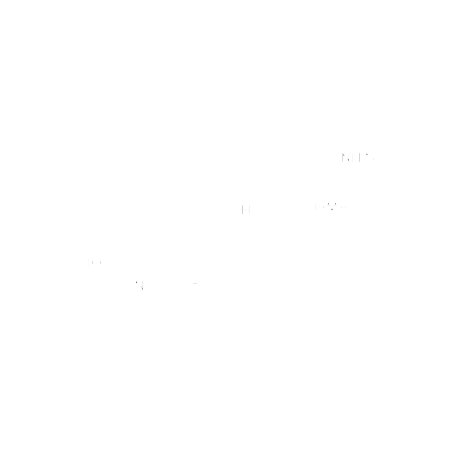 COc1cc(-c2cccc(-c3ccc(NC(C)O)c(F)c3)c2O)ccc1NC(C)=O